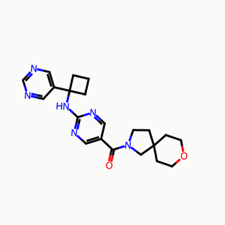 O=C(c1cnc(NC2(c3cncnc3)CCC2)nc1)N1CCC2(CCOCC2)C1